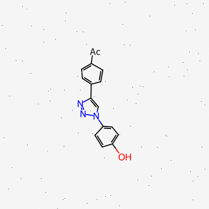 CC(=O)c1ccc(-c2cn(-c3ccc(O)cc3)nn2)cc1